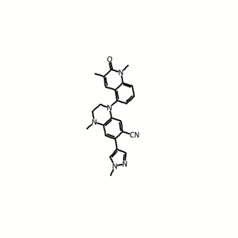 Cc1cc2c(N3CCN(C)c4cc(-c5cnn(C)c5)c(C#N)cc43)cccc2n(C)c1=O